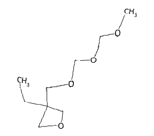 CCC1(COCOCOC)COC1